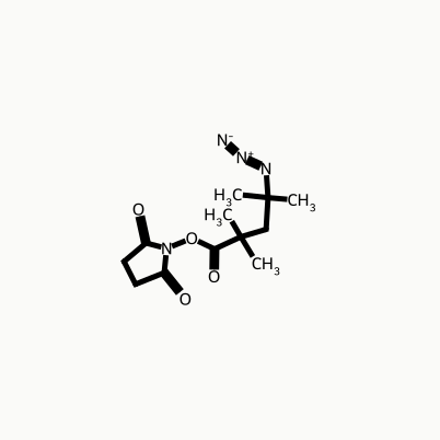 CC(C)(CC(C)(C)C(=O)ON1C(=O)CCC1=O)N=[N+]=[N-]